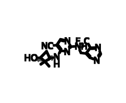 CC1(C)[C@@H](O)C[C@H]1Nc1nc(NCc2cncnc2C(F)(F)F)ncc1C#N